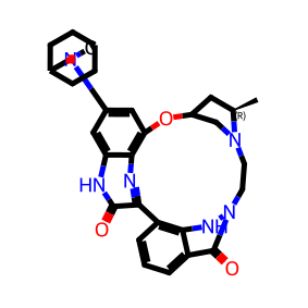 C[C@@H]1CC2CN1CCn1[nH]c3c(cccc3c1=O)-c1nc3c(cc(N4CC5CCC(CC5)C4)cc3[nH]c1=O)O2